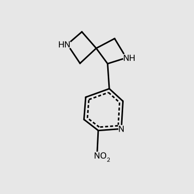 O=[N+]([O-])c1ccc(C2NCC23CNC3)cn1